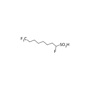 O=S(=O)(O)C(F)CCCCCCC(F)(F)F